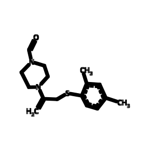 C=C(CSc1ccc(C)cc1C)N1CCN(C=O)CC1